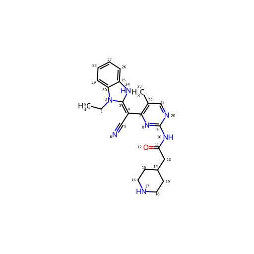 CCN1/C(=C(\C#N)c2nc(NC(=O)CC3CCNCC3)ncc2C)Nc2ccccc21